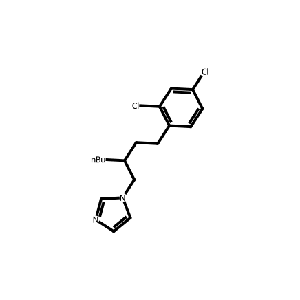 CCCCC(CCc1ccc(Cl)cc1Cl)Cn1ccnc1